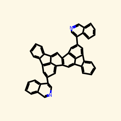 c1ccc2c(-c3cc4c5ccccc5c5cc6c(cc7c8ccccc8c8cc(-c9cncc%10ccccc9%10)cc6c87)c(c3)c45)cncc2c1